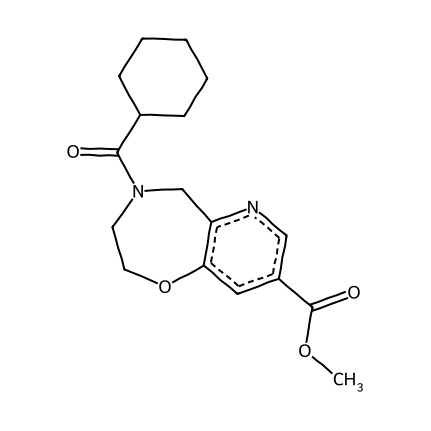 COC(=O)c1cnc2c(c1)OCCN(C(=O)C1CCCCC1)C2